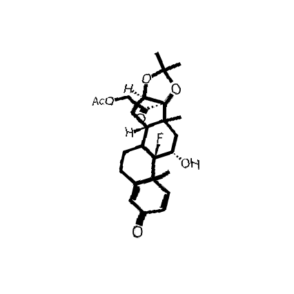 CC(=O)OCC(=O)[C@@]12OC(C)(C)O[C@@H]1C[C@H]1C3CCC4=CC(=O)C=CC4(C)[C@@]3(F)[C@@H](O)CC12C